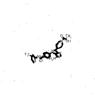 C[C@H](O)C(=O)N1CCC(c2nn(-c3ccc(C(=O)Nc4cc(C(F)(F)F)ccn4)cc3)c3c(N)ncnc23)CC1